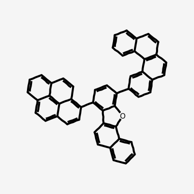 c1ccc2c(c1)ccc1c2oc2c(-c3ccc4ccc5ccc6ccccc6c5c4c3)ccc(-c3ccc4ccc5cccc6ccc3c4c56)c21